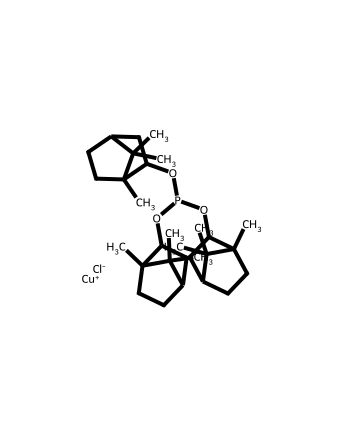 CC1(C)C2CCC1(C)C(OP(OC1CC3CCC1(C)C3(C)C)OC1CC3CCC1(C)C3(C)C)C2.[Cl-].[Cu+]